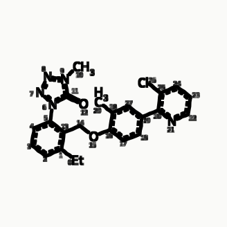 CCc1cccc(-n2nnn(C)c2=O)c1COc1ccc(-c2ncccc2Cl)cc1C